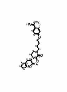 N=C(N)c1ccc(OCCCCN2CCN(C(Cc3cscn3)C(=O)O)C(=O)C2=O)cc1